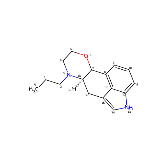 CCCN1CCOC2c3cccc4[nH]cc(c34)C[C@H]21